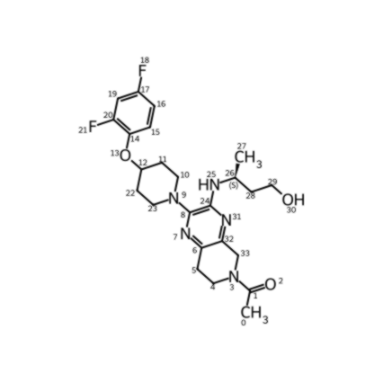 CC(=O)N1CCc2nc(N3CCC(Oc4ccc(F)cc4F)CC3)c(N[C@@H](C)CCO)nc2C1